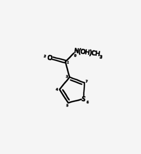 CN(O)C(=O)c1ccsc1